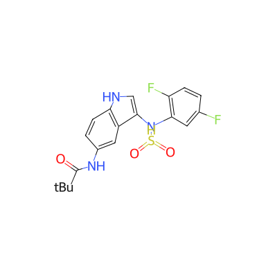 CC(C)(C)C(=O)Nc1ccc2[nH]cc(N(c3cc(F)ccc3F)[SH](=O)=O)c2c1